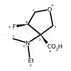 CCN(C)[C@@]1(C(=O)O)COC[C@@H]1F